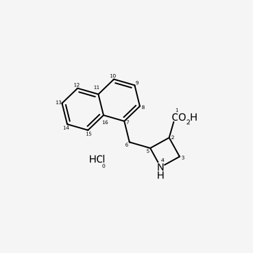 Cl.O=C(O)C1CNC1Cc1cccc2ccccc12